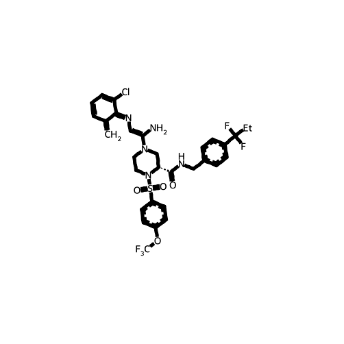 C=C1C=CC=C(Cl)/C1=N/C=C(\N)N1CCN(S(=O)(=O)c2ccc(OC(F)(F)F)cc2)[C@@H](C(=O)NCc2ccc(C(F)(F)CC)cc2)C1